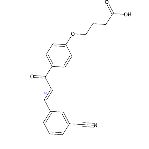 N#Cc1cccc(/C=C/C(=O)c2ccc(OCCCC(=O)O)cc2)c1